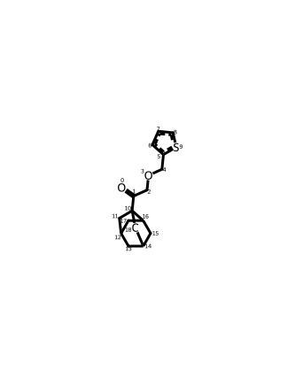 O=C(COCc1cccs1)C12CC3CC(CC1C3)C2